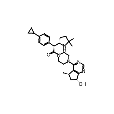 C[C@@H]1C[C@@H](O)c2ncnc(N3CCN(C(=O)[C@@H](c4ccc(C5CC5)cc4)[C@@H]4CCC(C)(C)N4)CC3)c21